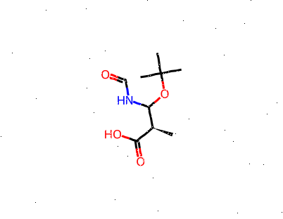 C[C@@H](C(=O)O)C(NC=O)OC(C)(C)C